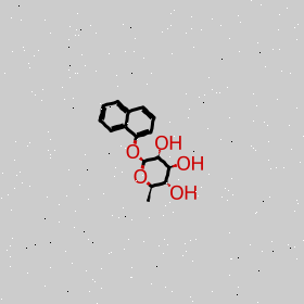 C[C@H]1O[C@@H](Oc2cccc3ccccc23)[C@H](O)[C@@H](O)[C@@H]1O